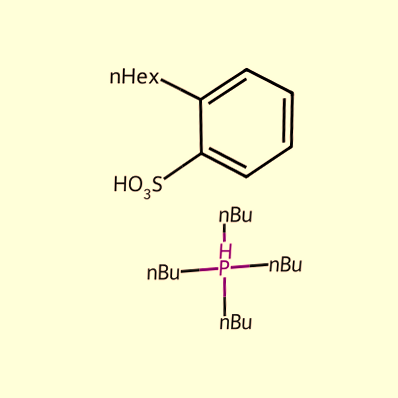 CCCCCCc1ccccc1S(=O)(=O)O.CCCC[PH](CCCC)(CCCC)CCCC